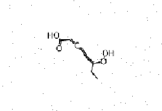 CCC(=C=C=C=CC(=O)O)OO